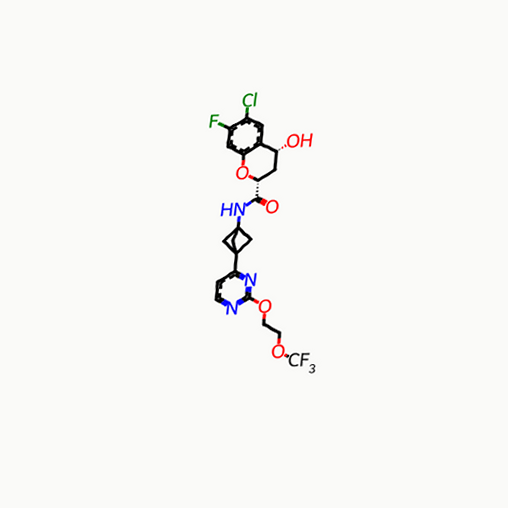 O=C(NC12CC(c3ccnc(OCCOC(F)(F)F)n3)(C1)C2)[C@H]1C[C@@H](O)c2cc(Cl)c(F)cc2O1